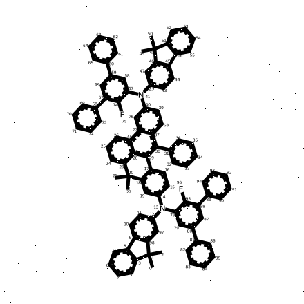 CC1(C)c2ccccc2-c2ccc(N(c3ccc4c(c3)C(C)(C)c3cccc5c3c-4c(-c3ccccc3)c3ccc(N(c4ccc6c(c4)C(C)(C)c4ccccc4-6)c4cc(-c6ccccc6)cc(-c6ccccc6)c4F)cc35)c3cc(-c4ccccc4)cc(-c4ccccc4)c3F)cc21